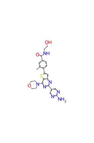 Cc1cc(C(=O)NCCO)ccc1-c1cc2nc(-c3cnc(N)nc3)nc(N3CCOCC3)c2s1